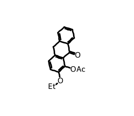 CCOc1ccc2c(c1OC(C)=O)C(=O)c1ccccc1C2